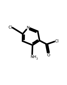 Nc1cc(Cl)ncc1C(=O)Cl